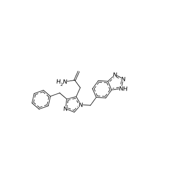 C=C(N)Cc1c(Cc2ccccc2)ncn1Cc1ccc2nn[nH]c2c1